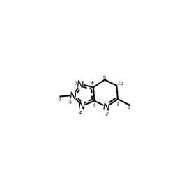 CC1=Nc2nn(C)nc2CC1